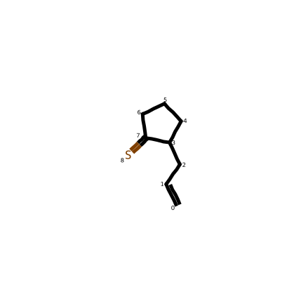 C=CC[C]1CCCC1=S